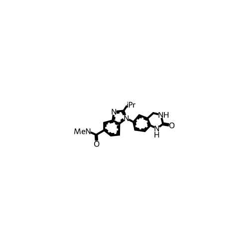 CNC(=O)c1ccc2c(c1)nc(C(C)C)n2-c1ccc2c(c1)CNC(=O)N2